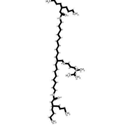 CCCCC(CCCC)CC(=O)OCCCCCCCCCCC(CCCCCCCCOC(=O)CC(CCCC)CCCC)COCCCN(C)C(C)C